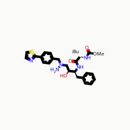 CC[C@H](C)[C@H](NC(=O)OC)C(=O)N[C@@H](Cc1ccccc1)[C@@H](O)CN(N)Cc1ccc(-c2nccs2)cc1